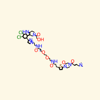 CN(C)CC=CC(=O)N1CCN(c2ccc(CCC(=O)NCCOCCO/C=C/C(=O)NCCn3ccc(-c4cc(Cl)c(Cl)c5[nH]c6c(c45)CN(C(=O)CO)CC6)n3)s2)C(=O)C1